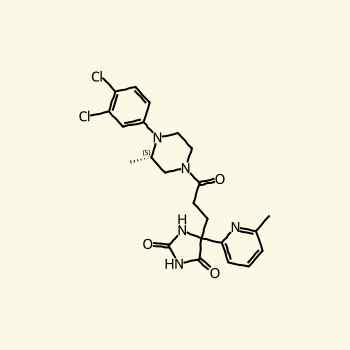 Cc1cccc(C2(CCC(=O)N3CCN(c4ccc(Cl)c(Cl)c4)[C@@H](C)C3)NC(=O)NC2=O)n1